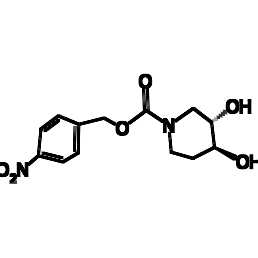 O=C(OCc1ccc([N+](=O)[O-])cc1)N1CC[C@H](O)[C@@H](O)C1